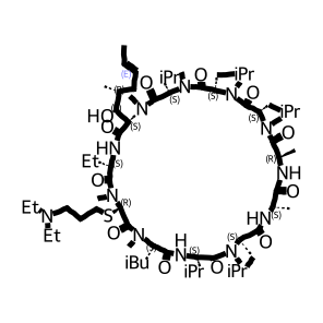 C/C=C/C[C@@H](C)[C@@H](O)[C@H]1C(=O)N[C@@H](CC)C(=O)N(C)[C@H](SCCCN(CC)CC)C(=O)N(C)[C@@H](C(C)CC)C(=O)N[C@@H](C(C)C)C(=O)N(C)[C@@H](CC(C)C)C(=O)N[C@@H](C)C(=O)N[C@H](C)C(=O)N(C)[C@@H](CC(C)C)C(=O)N(C)[C@@H](CC(C)C)C(=O)N(C)[C@@H](C(C)C)C(=O)N1C